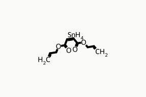 C=CCOC(=O)/C=C\C(=O)OCC=C.[SnH4]